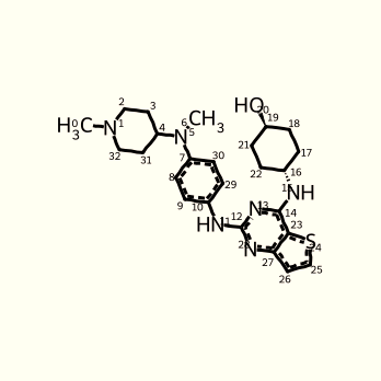 CN1CCC(N(C)c2ccc(Nc3nc(N[C@H]4CC[C@H](O)CC4)c4sccc4n3)cc2)CC1